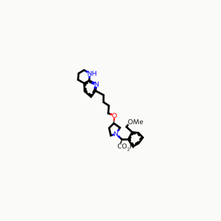 COCc1ccccc1[C@@H](C(=O)O)N1CC[C@@H](OCCCCc2ccc3c(n2)NCCC3)C1